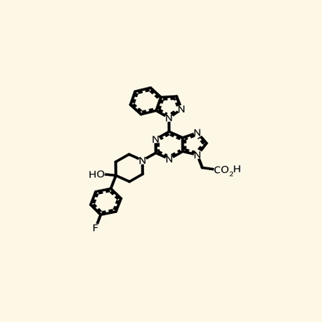 O=C(O)Cn1cnc2c(-n3ncc4ccccc43)nc(N3CCC(O)(c4ccc(F)cc4)CC3)nc21